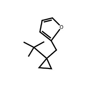 CC(C)(C)C1(Cc2ccco2)CC1